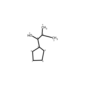 CC(C)C(O)C1CCCC1